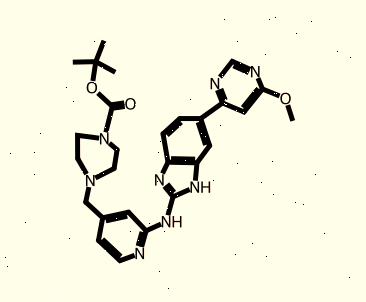 COc1cc(-c2ccc3nc(Nc4cc(CN5CCN(C(=O)OC(C)(C)C)CC5)ccn4)[nH]c3c2)ncn1